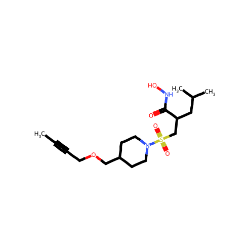 CC#CCOCC1CCN(S(=O)(=O)CC(CC(C)C)C(=O)NO)CC1